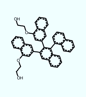 OCCOc1cc(-c2cc3ccccc3c(-c3cccc4ccccc34)c2-c2cc(OCCO)c3ccccc3c2)cc2ccccc12